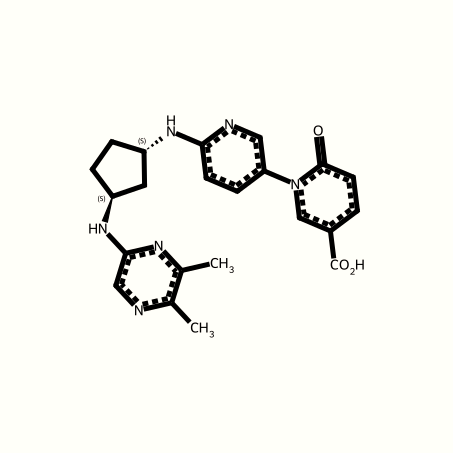 Cc1ncc(N[C@H]2CC[C@H](Nc3ccc(-n4cc(C(=O)O)ccc4=O)cn3)C2)nc1C